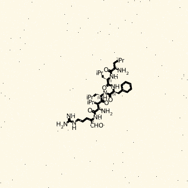 CC(C)C[C@@H](N)C(=O)N[C@@H](CC(C)C)C(=O)N[C@@H](CC1CCCCC1)C(=O)N[C@@H](CC(C)C)C(=O)C(C(C)C)[C@H](N)C(=O)N[C@@H]([C]=O)CCCNC(=N)N